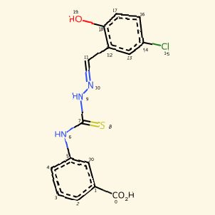 O=C(O)c1cccc(NC(=S)N/N=C/c2cc(Cl)ccc2O)c1